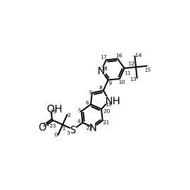 CC(C)(Sc1cc2cc(-c3cc(C(C)(C)C)ccn3)[nH]c2cn1)C(=O)O